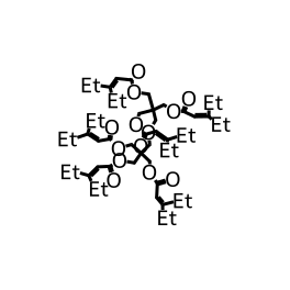 CCC(=CC(=O)OCC(COCC(COC(=O)C=C(CC)CC)(COC(=O)C=C(CC)CC)COC(=O)C=C(CC)CC)(COC(=O)C=C(CC)CC)COC(=O)C=C(CC)CC)CC